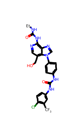 CCNC(=O)Nc1ncc(CO)c2c1ncn2-c1ccc(NC(=O)Nc2ccc(Cl)c(C(F)(F)F)c2)cc1